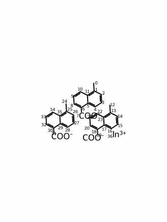 Cc1cccc2c(C(=O)[O-])cccc12.Cc1cccc2c(C(=O)[O-])cccc12.Cc1cccc2c(C(=O)[O-])cccc12.[In+3]